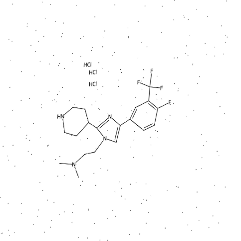 CN(C)CCn1cc(-c2ccc(F)c(C(F)(F)F)c2)nc1C1CCNCC1.Cl.Cl.Cl